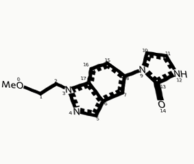 COCCn1ncc2cc(-n3cc[nH]c3=O)ccc21